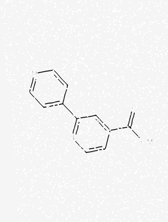 COC(=O)c1ccnc(-c2ccncc2)c1